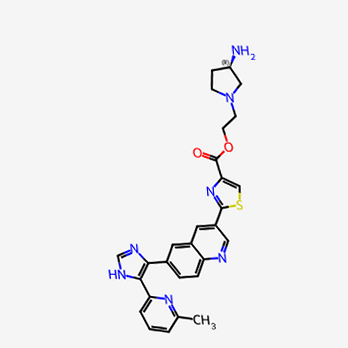 Cc1cccc(-c2[nH]cnc2-c2ccc3ncc(-c4nc(C(=O)OCCN5CC[C@@H](N)C5)cs4)cc3c2)n1